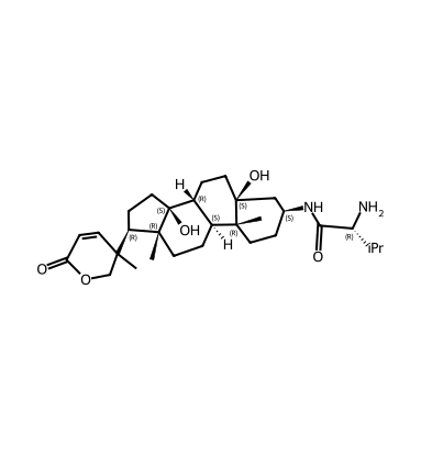 CC(C)[C@@H](N)C(=O)N[C@H]1CC[C@]2(C)[C@H]3CC[C@]4(C)[C@@H](C5(C)C=CC(=O)OC5)CC[C@]4(O)[C@@H]3CC[C@]2(O)C1